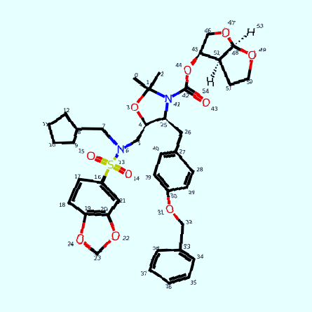 CC1(C)O[C@H](CN(CC2CCCC2)S(=O)(=O)c2ccc3c(c2)OCO3)[C@H](Cc2ccc(OCc3ccccc3)cc2)N1C(=O)O[C@H]1CO[C@H]2OCC[C@H]21